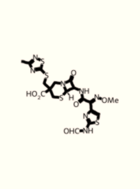 CON=C(C(=O)NC1C(=O)N2CC(CSc3nc(C)ns3)(C(=O)O)CS[C@H]12)c1csc(NC=O)n1